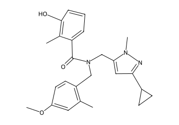 COc1ccc(CN(Cc2cc(C3CC3)nn2C)C(=O)c2cccc(O)c2C)c(C)c1